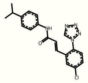 CC(C)c1ccc(NC(=O)/C=C/c2cc(Cl)ccc2-n2cnnn2)cc1